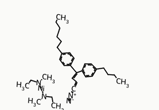 CCCCCCc1ccc(C(=CC=C=[N+]=[N-])c2ccc(CCCC)cc2)cc1.CC[N](C)[Ni][N](C)CC